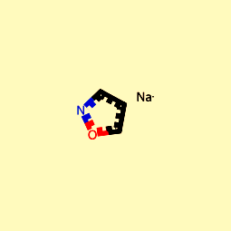 [Na].c1cnoc1